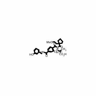 COCCC1(C(=O)N(N[C@@H](C)C(=O)O)C(=O)c2ccc(C(=O)NCc3cccc(O)c3)cc2Cl)CCCC1